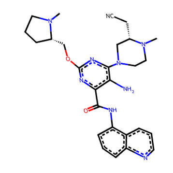 CN1CCC[C@H]1COc1nc(C(=O)Nc2cccc3ncccc23)c(N)c(N2CCN(C)[C@@H](CC#N)C2)n1